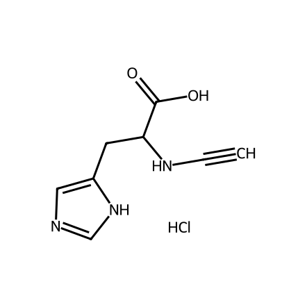 C#CNC(Cc1cnc[nH]1)C(=O)O.Cl